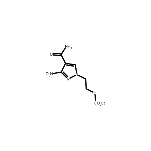 CCOC(=O)OCCn1cc(C(N)=O)c([N+](=O)[O-])n1